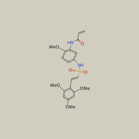 C=CC(=O)Nc1cc(NS(=O)(=O)C=Cc2c(OC)cc(OC)cc2OC)ccc1OC